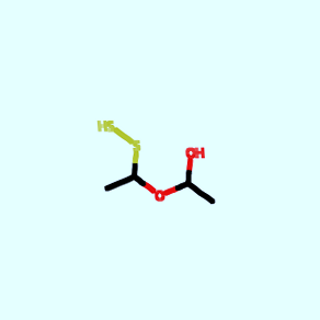 CC(O)OC(C)SS